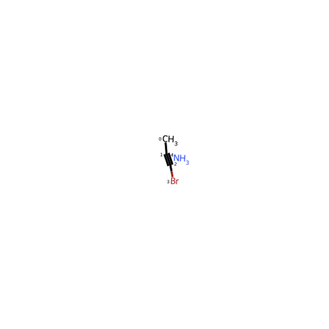 CC#CBr.N